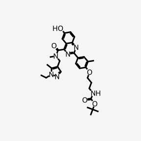 CCn1ncc(CN(C)C(=O)c2nc(-c3ccc(OCCCNC(=O)OC(C)(C)C)c(C)c3)nc3ccc(O)cc23)c1C